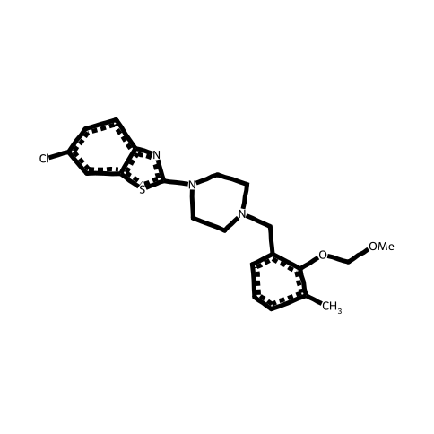 COCOc1c(C)cccc1CN1CCN(c2nc3ccc(Cl)cc3s2)CC1